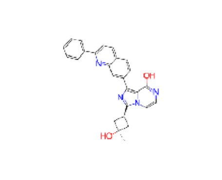 C[C@]1(O)C[C@@H](c2nc(-c3ccc4ccc(-c5ccccc5)nc4c3)c3c(O)nccn32)C1